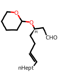 CCCCCCCC=CCC[C@H](CC=O)OC1CCCCO1